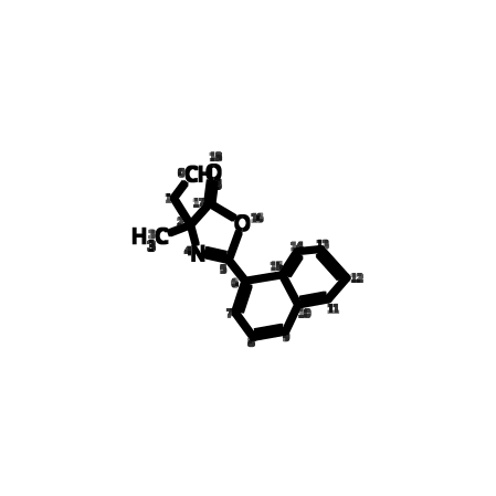 CCC1(C)N=C(c2cccc3ccccc23)OC1=O